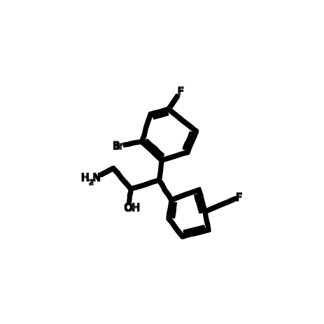 NCC(O)C(c1cccc(F)c1)c1ccc(F)cc1Br